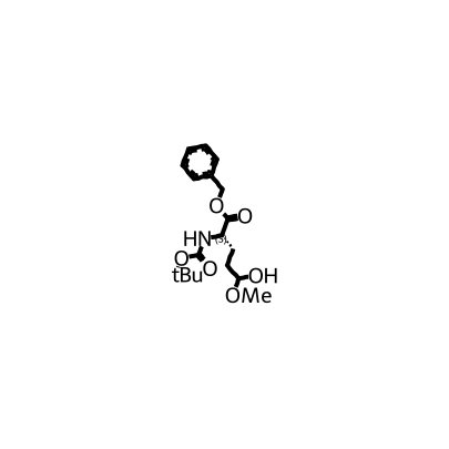 COC(O)CC[C@H](NC(=O)OC(C)(C)C)C(=O)OCc1ccccc1